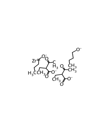 CCC(C(C)=O)C(=O)[O-].CCC(C(C)=O)C(=O)[O-].CCCC[O-].CCCC[O-].[Zr+4]